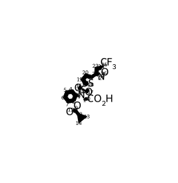 O=C(O)CN(c1ccccc1OC(=O)C1CC1)S(=O)(=O)c1ccc(-c2cc(C(F)(F)F)on2)s1